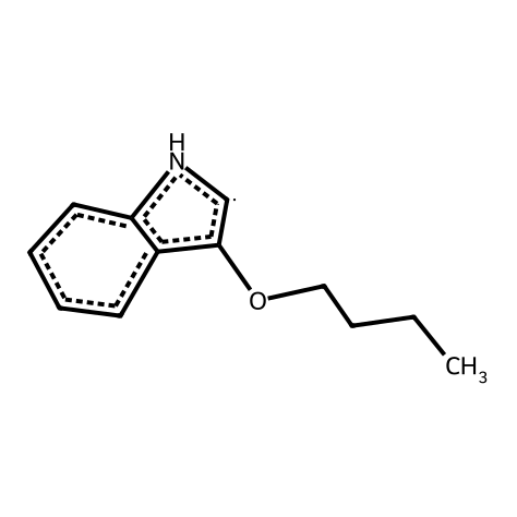 CCCCOc1[c][nH]c2ccccc12